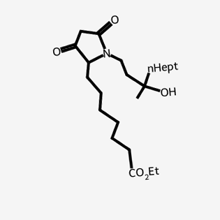 CCCCCCCC(C)(O)CCN1C(=O)CC(=O)C1CCCCCCC(=O)OCC